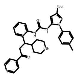 Cc1ccc(-n2nc(C(C)(C)C)cc2NC(=O)Nc2ccccc2C(CC(=O)c2ccncc2)C2CCNCC2)cc1